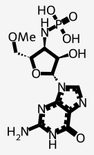 COC[C@H]1O[C@@H](n2cnc3c(=O)[nH]c(N)nc32)[C@H](O)[C@@H]1NP(=O)(O)O